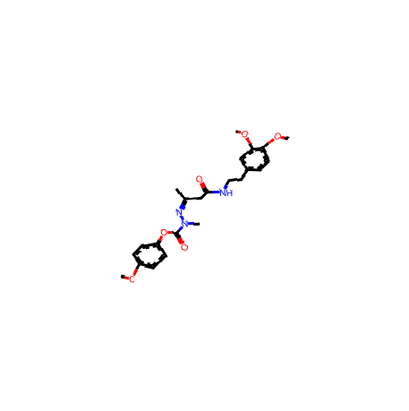 COc1ccc(OC(=O)N(C)N=C(C)CC(=O)NCCc2ccc(OC)c(OC)c2)cc1